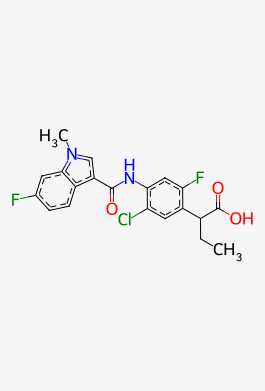 CCC(C(=O)O)c1cc(Cl)c(NC(=O)c2cn(C)c3cc(F)ccc23)cc1F